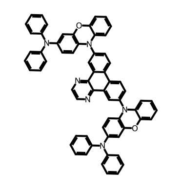 c1ccc(N(c2ccccc2)c2ccc3c(c2)Oc2ccccc2N3c2ccc3c4ccc(N5c6ccccc6Oc6cc(N(c7ccccc7)c7ccccc7)ccc65)cc4c4nccnc4c3c2)cc1